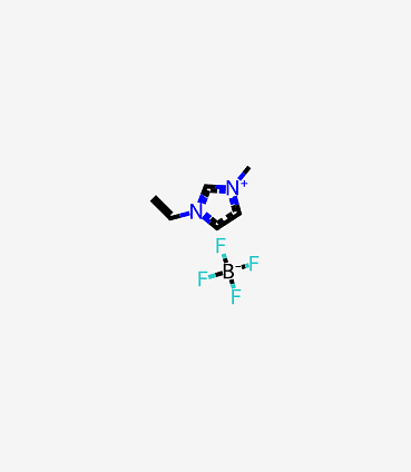 C=Cn1cc[n+](C)c1.F[B-](F)(F)F